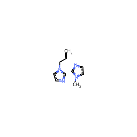 C=CCn1ccnc1.Cn1ccnc1